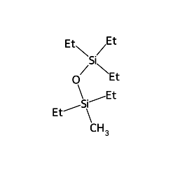 CC[Si](C)(CC)O[Si](CC)(CC)CC